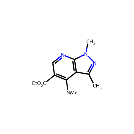 CCOC(=O)c1cnc2c(c(C)nn2C)c1NC